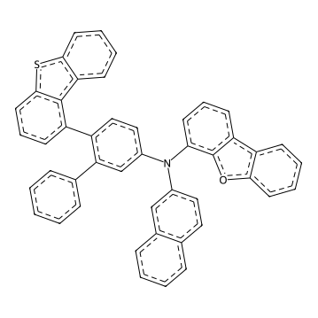 c1ccc(-c2cc(N(c3ccc4ccccc4c3)c3cccc4c3oc3ccccc34)ccc2-c2cccc3sc4ccccc4c23)cc1